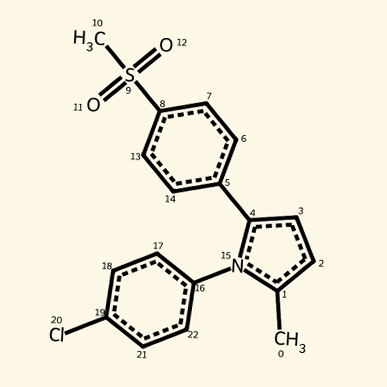 Cc1ccc(-c2ccc(S(C)(=O)=O)cc2)n1-c1ccc(Cl)cc1